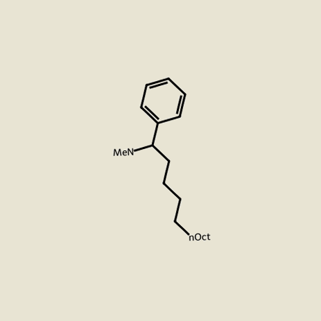 CCCCCCCCCCCCC(NC)c1ccccc1